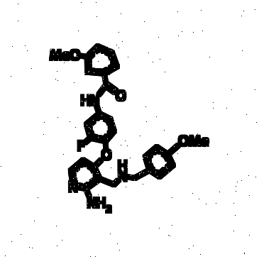 COc1ccc(CNCc2c(Oc3ccc(NC(=O)c4cccc(OC)c4)cc3F)ccnc2N)cc1